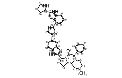 CN1CCN([C@@H](C(=O)N2CCC[C@H]2c2nc3cc(-c4cnc(-c5cccc6[nH]c([C@@H]7CCCN7)nc56)o4)ccc3[nH]2)c2ccccc2)CC1